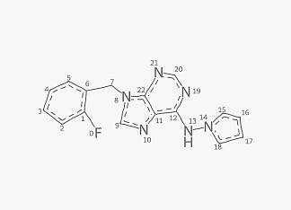 Fc1ccccc1Cn1cnc2c(Nn3cccc3)ncnc21